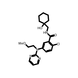 COCCN(c1ccc(Cl)c(C(=O)NCC2(O)CCCCC2)c1)c1ncccn1